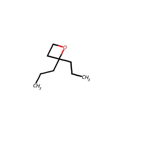 CCCC1(CCC)CCO1